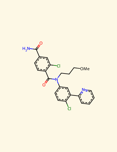 COCCCN(C(=O)c1ccc(C(N)=O)cc1Cl)c1ccc(Cl)c(-c2ccccn2)c1